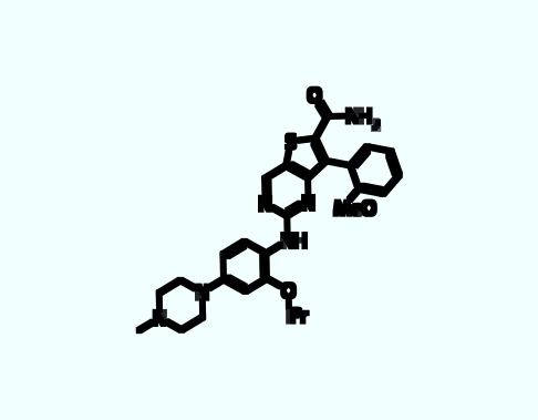 COc1ccccc1-c1c(C(N)=O)sc2cnc(Nc3ccc(N4CCN(C)CC4)cc3OC(C)C)nc12